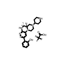 C[C@H]1Nc2nnc(-c3ccccc3O)cc2N2CCN(C3CCNCC3)C[C@@H]12.O=C(O)C(F)(F)F